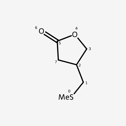 CSCC1COC(=O)C1